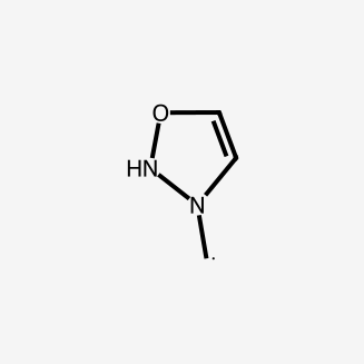 [CH2]N1C=CON1